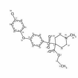 CCOC(=O)C1(S(=O)(=O)c2ccc(Oc3ccc(Cl)cc3)cc2)CCN(C)CC1